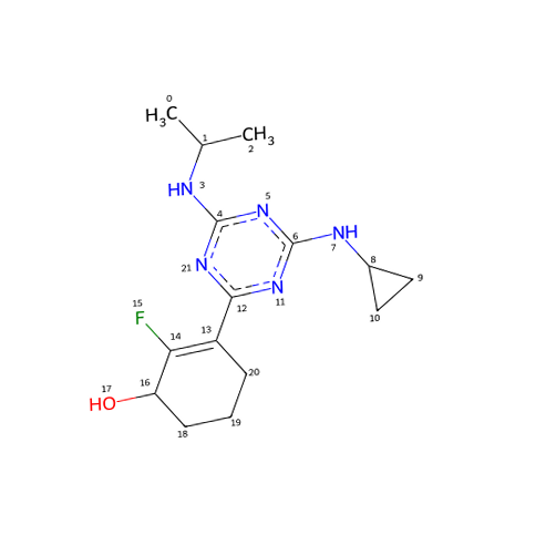 CC(C)Nc1nc(NC2CC2)nc(C2=C(F)C(O)CCC2)n1